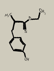 CCOC(=S)C(C)Cc1ccc(O)cc1